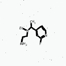 CCN(CCN)C(C)c1ccnc(F)c1